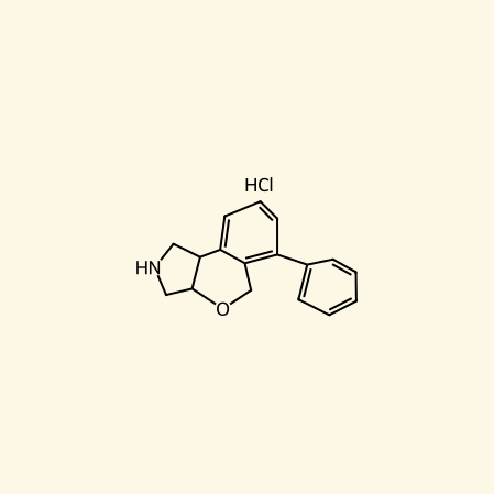 Cl.c1ccc(-c2cccc3c2COC2CNCC32)cc1